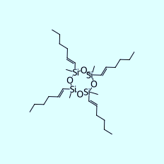 CCCCC=C[Si]1(C)O[Si](C)(C=CCCCC)O[Si](C)(C=CCCCC)O[Si](C)(C=CCCCC)O1